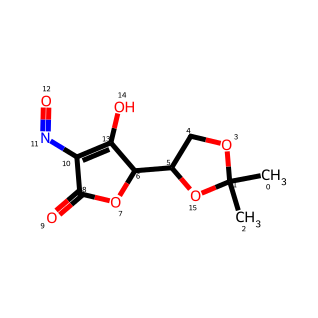 CC1(C)OCC(C2OC(=O)C(N=O)=C2O)O1